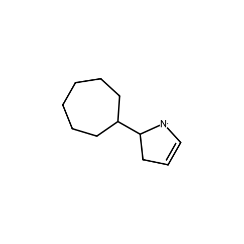 C1=C[N]C(C2CCCCCC2)C1